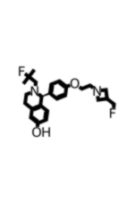 CC(C)(F)CN1CCc2cc(O)ccc2[C@@H]1c1ccc(OCCN2CC(CF)C2)cc1